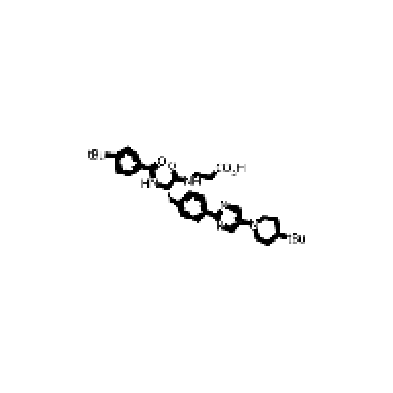 CC(C)(C)c1ccc(C(=O)N[C@@H](Cc2ccc(-c3ncc(N4CCC(C(C)(C)C)CC4)cn3)cc2)C(=O)NCCC(=O)O)cc1